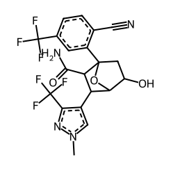 Cn1cc(C2C3OC(c4cc(C(F)(F)F)ccc4C#N)(CC3O)C2C(N)=O)c(C(F)(F)F)n1